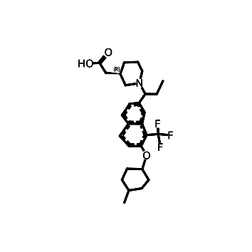 CCC(c1ccc2ccc(OC3CCC(C)CC3)c(C(F)(F)F)c2c1)N1CCC[C@H](CC(=O)O)C1